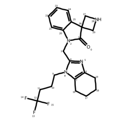 O=C1N(Cc2nc3c(n2CCCC(F)(F)F)CCCC3)c2ccccc2C12CNC2